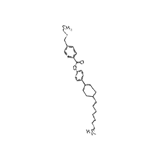 CCCCCCCCC1CCC(c2ccc(OC(=O)c3ccc(CCCC)cc3)cc2)CC1